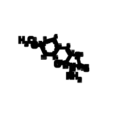 COc1ccc(C=C2SC(=S)N(N)C2=O)cc1